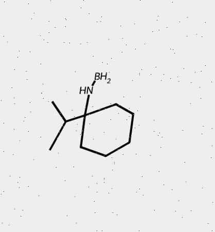 BNC1(C(C)C)CCCCC1